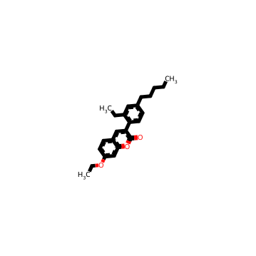 CCCCCc1ccc(-c2cc3ccc(OCC)cc3oc2=O)c(CC)c1